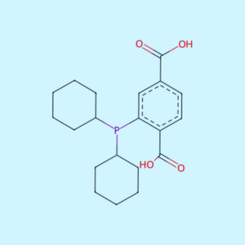 O=C(O)c1ccc(C(=O)O)c(P(C2CCCCC2)C2CCCCC2)c1